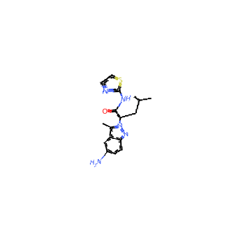 Cc1c2cc(N)ccc2nn1C(CC(C)C)C(=O)Nc1nccs1